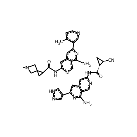 Cc1ccncc1-c1cc2cc(NC(=O)C3CC34CNC4)ncc2c(N)n1.N#C[C@@H]1C[C@H]1C(=O)Nc1cc2cc(-c3cn[nH]c3)nc(N)c2cn1